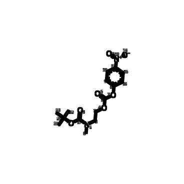 CN(CCOC(=O)Oc1ccc([N+](=O)[O-])cc1)C(=O)OC(C)(C)C